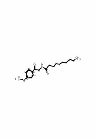 CCCCCCCCCC(=O)NCC(=O)c1ccc(OC)cc1